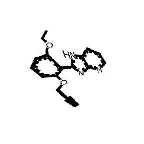 C#CCOc1cccc(OCC)c1-c1nc2ncccc2[nH]1